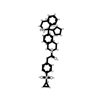 O=C(Cc1ccc(S(=O)(=O)C2CC2)cc1)N1CCc2cc(C3(C4CCCC4)NCCc4ccccc43)ccc2C1